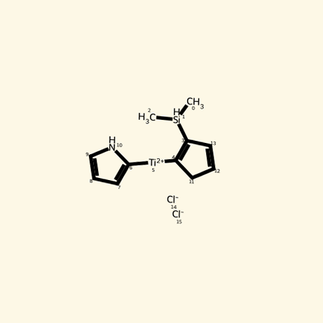 C[SiH](C)C1=[C]([Ti+2][c]2ccc[nH]2)CC=C1.[Cl-].[Cl-]